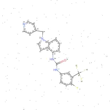 O=C(Nc1ccc(F)c(C(F)(F)F)c1)Nc1cccc2c1ccn2Cc1ccncc1